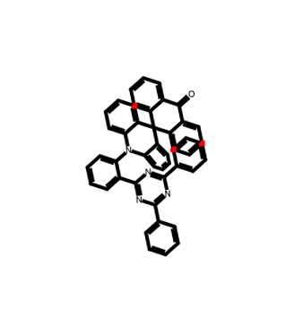 O=C1c2ccccc2C2(c3ccccc31)c1ccccc1N(c1ccccc1-c1nc(-c3ccccc3)nc(-c3ccccc3)n1)c1ccccc12